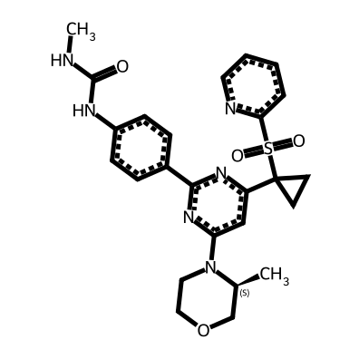 CNC(=O)Nc1ccc(-c2nc(N3CCOC[C@@H]3C)cc(C3(S(=O)(=O)c4ccccn4)CC3)n2)cc1